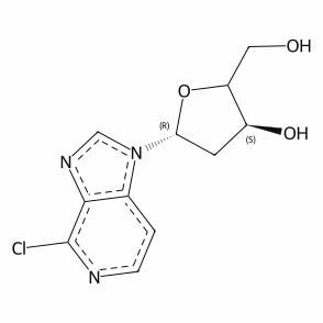 OCC1O[C@@H](n2cnc3c(Cl)nccc32)C[C@@H]1O